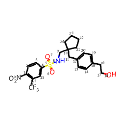 O=[N+]([O-])c1ccc(S(=O)(=O)NCC2(Cc3ccc(CCO)cc3)CCCC2)cc1C(F)(F)F